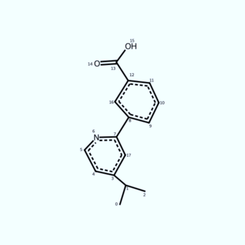 CC(C)c1ccnc(-c2cccc(C(=O)O)c2)c1